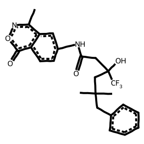 Cc1noc(=O)c2ccc(NC(=O)CC(O)(CC(C)(C)Cc3ccccc3)C(F)(F)F)cc12